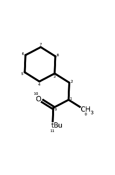 CC(CC1CCCCC1)C(=O)C(C)(C)C